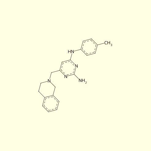 Cc1ccc(Nc2cc(CN3CCc4ccccc4C3)nc(N)n2)cc1